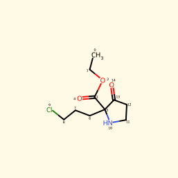 CCOC(=O)C1(CCCCl)NCCC1=O